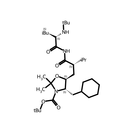 CC[C@H](C)[C@H](NC(C)(C)C)C(=O)NC(=O)[C@@H](C[C@@H]1OC(C)(C)N(C(=O)OC(C)(C)C)[C@H]1CC1CCCCC1)C(C)C